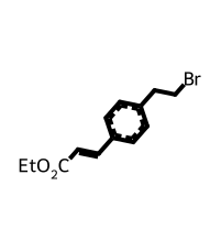 CCOC(=O)C=Cc1ccc(CCBr)cc1